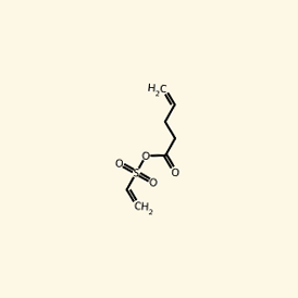 C=CCCC(=O)OS(=O)(=O)C=C